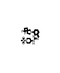 CS(=O)(=O)N1CCC(Nc2ncc3cccc(N4CCC5(CCC5(F)F)C4)c3n2)CC1